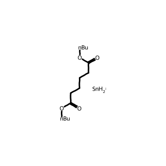 CCCCOC(=O)CCCCC(=O)OCCCC.[SnH2]